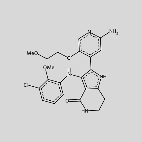 COCCOc1cnc(N)cc1-c1[nH]c2c(c1Nc1cccc(Cl)c1OC)C(=O)NCC2